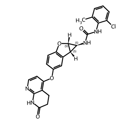 Cc1cccc(Cl)c1NC(=O)N[C@@H]1[C@H]2Oc3ccc(Oc4ccnc5c4CCC(=O)N5)cc3[C@@H]12